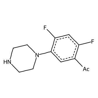 CC(=O)c1cc(N2CCNCC2)c(F)cc1F